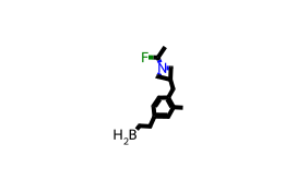 BCCc1ccc(CC2CN(C(C)F)C2)c(C)c1